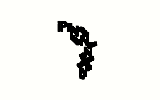 CC(C)N1CCN(C(C)N2CC3(CN(C)C3)C2)CC1